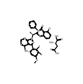 COc1ccc(-c2nn([C@@H](C)c3nc4cccc(Cl)c4c(=O)n3-c3ccccc3)c3ncnc(N)c23)c(F)c1F.O=C(O)C[C@H](O)C(=O)O